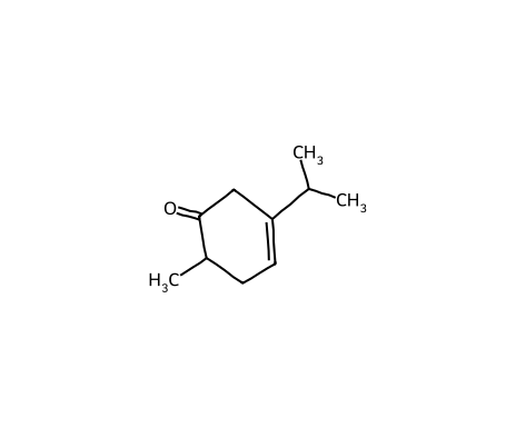 CC(C)C1=CCC(C)C(=O)C1